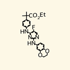 CCOC(=O)C(C)(C)c1ccc(Nc2nc(Nc3ccc4c(c3)OCCO4)ncc2F)cc1